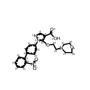 O=C(O)c1cnn(-c2ccc(-c3ccccc3[N+](=O)[O-])cc2)c1OCCN1CCOCC1